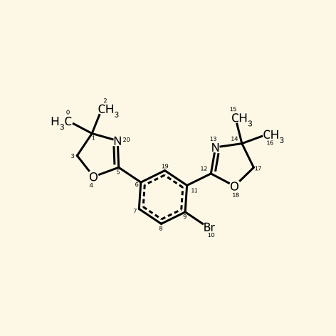 CC1(C)COC(c2ccc(Br)c(C3=NC(C)(C)CO3)c2)=N1